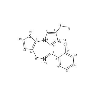 CCc1cn2c(n1)C(c1ccccc1Cl)=NCc1ccsc1-2